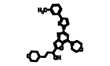 Cc1cccc(-c2ccn(-c3cc(N4CCOCC4)c4oc(C(O)CCC5CCOCC5)cc4n3)n2)c1